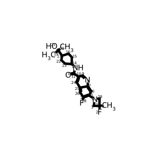 CC1(F)CN(c2cc3ncc(C(=O)NC4CCC(C(C)(C)O)CC4)cc3cc2F)C1